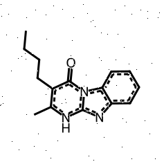 CCCCc1c(C)[nH]c2nc3ccccc3n2c1=O